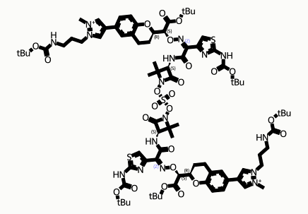 C[n+]1cc(-c2ccc3c(c2)CC[C@H]([C@H](O/N=C(\C(=O)N[C@@H]2C(=O)N(OS(=O)(=O)ON4C(=O)[C@@H](NC(=O)/C(=N\O[C@H](C(=O)OC(C)(C)C)[C@H]5CCc6cc(-c7cn(CCCNC(=O)OC(C)(C)C)[n+](C)c7)ccc6O5)c5csc(NC(=O)OC(C)(C)C)n5)C4(C)C)C2(C)C)c2csc(NC(=O)OC(C)(C)C)n2)C(=O)OC(C)(C)C)O3)cn1CCCNC(=O)OC(C)(C)C